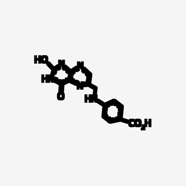 O=C(O)c1ccc(NCc2cnc3nc(O)[nH]c(=O)c3n2)cc1